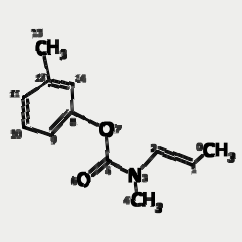 C/C=C/N(C)C(=O)Oc1cccc(C)c1